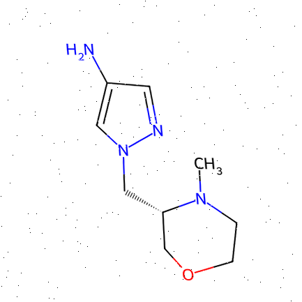 CN1CCOC[C@@H]1Cn1cc(N)cn1